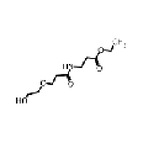 CCOC(=O)CCNC(=O)CCOCCO